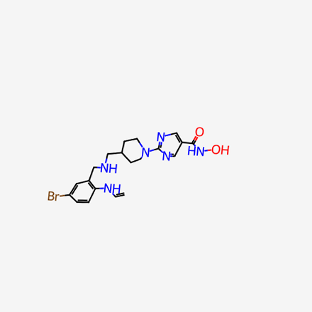 C=CNc1ccc(Br)cc1CNCC1CCN(c2ncc(C(=O)NO)cn2)CC1